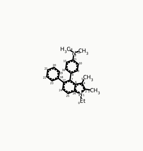 CCn1c(C)c(C)c2c(-c3ccc(N(C)C)cc3)c(-c3ccccc3)ccc21